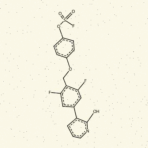 O=S(=O)(F)Oc1ccc(OCc2c(F)cc(-c3cccnc3O)cc2F)cc1